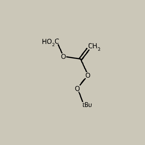 C=C(OOC(C)(C)C)OC(=O)O